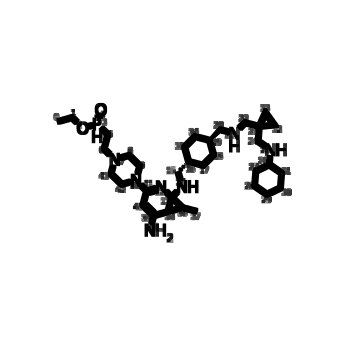 CCO[PH](=O)CCN1CCN(C2=NC3(NC[C@H]4CC[C@H](CNCC5(CNC6CCCCC6)CC5)CC4)C(C)C3C(N)=C2)CC1